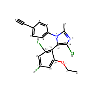 C#Cc1ccc(-n2c(C)nc(Cl)c2-c2c(F)cc(F)cc2OCC)cc1